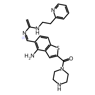 C=C(/N=C\c1ccc2sc(C(=O)N3CCNCC3)cc2c1N)NCCc1ccccn1